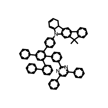 CC1(C)c2ccccc2-c2cc3c(cc21)N(c1ccc(-c2cc(-c4ccccc4)cc(-c4ccccc4-c4ccccc4)c2-c2cccc(-c4nc(-c5ccccc5)cc(-c5ccccc5)n4)c2)cc1)C1=CC=CCC13